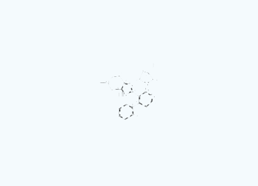 CN1CCc2nc(-c3c(-c4ccccc4)ccnc3N3CC[C@H](F)C3)[nH]c2C1